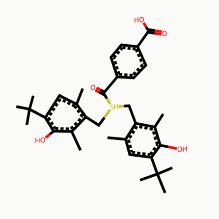 Cc1cc(C(C)(C)C)c(O)c(C)c1C[SH](Cc1c(C)cc(C(C)(C)C)c(O)c1C)C(=O)c1ccc(C(=O)O)cc1